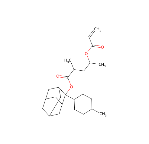 C=CC(=O)OC(C)CC(C)C(=O)OC1(C2CCC(C)CC2)C2CC3CC(C2)CC1C3